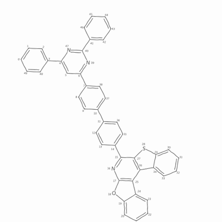 c1ccc(-c2cc(-c3ccc(-c4ccc(-c5nc6oc7ccccc7c6c6c5sc5ccccc56)cc4)cc3)nc(-c3ccccc3)n2)cc1